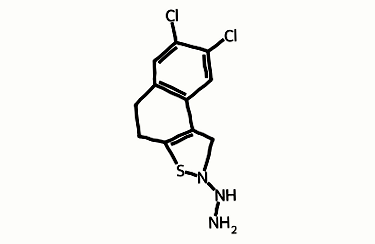 NNN1CC2=C(CCc3cc(Cl)c(Cl)cc32)S1